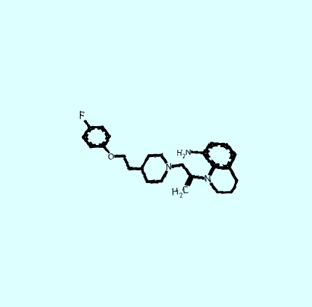 C=C(CN1CCC(CCOc2ccc(F)cc2)CC1)N1CCCc2cccc(N)c21